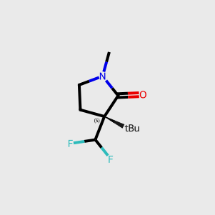 CN1CC[C@](C(F)F)(C(C)(C)C)C1=O